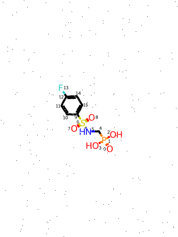 O=P(O)(O)CNS(=O)(=O)c1ccc(F)cc1